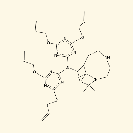 C=CCOc1nc(OCC=C)nc(N(c2nc(OCC=C)nc(OCC=C)n2)C2CC(C)(C)N3CCNCCC2C3(C)C)n1